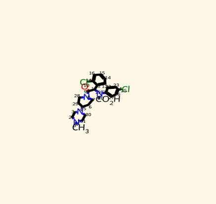 CN1CCN(C2CCN(C(=O)C(c3ccccc3Cl)N(C(=O)O)c3ccc(Cl)cc3)CC2)CC1